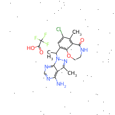 Cc1c(Cl)cc(C(C)n2nc(C)c3c(N)ncnc32)c2c1C(=O)NCCO2.O=C(O)C(F)(F)F